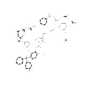 COc1ccc(C(OC[C@H]2O[C@@H](n3cnc4c(=O)[nH]c(NC(=O)COc5ccc(C(C)C)cc5)nc43)C[C@@H]2OP(=O)(OCCOCCO[C@@H]2O[C@H](COC(C)=O)[C@@H](OC(C)=O)[C@H](OC(C)=O)[C@H]2OC(C)=O)N(C(C)C)C(C)C)(c2ccccc2)c2ccc(OC)cc2)cc1